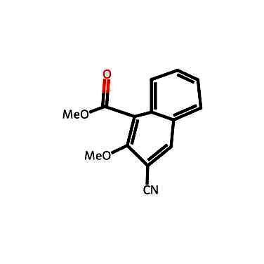 COC(=O)c1c(OC)c(C#N)cc2ccccc12